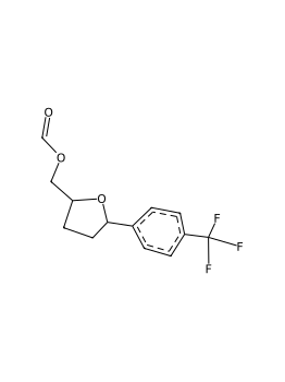 O=COCC1CCC(c2ccc(C(F)(F)F)cc2)O1